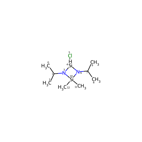 CC(C)N1[SiH](Cl)N(C(C)C)[Si]1(C)C